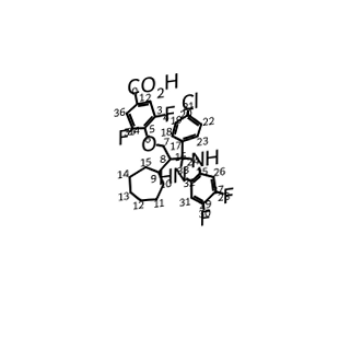 O=C(O)c1cc(F)c(OCC(C2CCCCCC2)C2(c3ccc(Cl)cc3)Nc3cc(F)c(F)cc3N2)c(F)c1